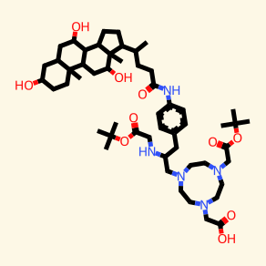 CC(CCC(=O)Nc1ccc(CC(CN2CCN(CC(=O)O)CCN(CC(=O)OC(C)(C)C)CC2)NCC(=O)OC(C)(C)C)cc1)C1CCC2C3C(O)CC4CC(O)CCC4(C)C3CC(O)C12C